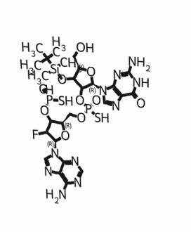 CC(C)(C)[Si](C)(C)OC1C(OP(=O)(S)OC[C@H]2O[C@@H](n3cnc4c(N)ncnc43)C(F)C2O[PH](=O)S)[C@H](n2cnc3c(=O)[nH]c(N)nc32)O[C@@H]1CO